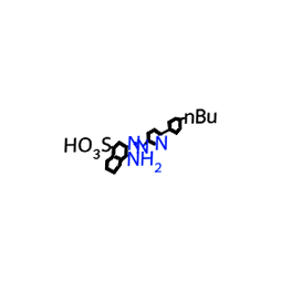 CCCCc1ccc(-c2ccc(N=Nc3cc(S(=O)(=O)O)c4ccccc4c3N)cn2)cc1